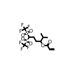 C=CC(=O)OC(CCC(S(=O)(=O)C(F)(F)F)S(=O)(=O)C(F)(F)F)C(C)C